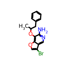 CC(Cc1ccccc1)Oc1c(N)ncc2c(Br)coc12